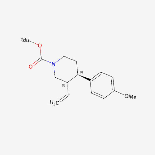 C=C[C@@H]1CN(C(=O)OC(C)(C)C)CC[C@H]1c1ccc(OC)cc1